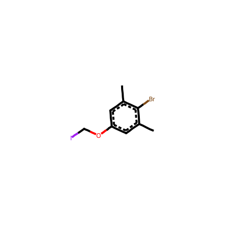 Cc1cc(OCI)cc(C)c1Br